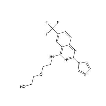 OCCOCCNc1nc(-n2ccnc2)nc2ccc(C(F)(F)F)cc12